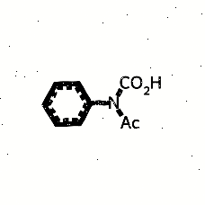 [CH2]C(=O)N(C(=O)O)c1ccccc1